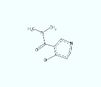 CN(C)C(=O)c1cnccc1Br